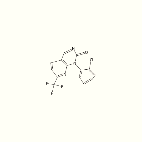 O=c1ncc2ccc(C(F)(F)F)nc2n1-c1ccccc1Cl